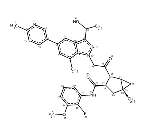 Cc1ncc(-c2cc(C)c3c(c2)c(C(C)O)nn3CC(=O)N2C3C[C@]3(C)C[C@H]2C(=O)Nc2cccc(OC(F)(F)F)c2F)cn1